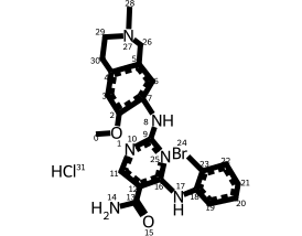 COc1cc2c(cc1Nc1ncc(C(N)=O)c(Nc3ccccc3Br)n1)CN(C)CC2.Cl